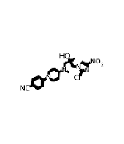 CN(CC(C)(O)Cn1cc([N+](=O)[O-])nc1Cl)C1CCN(c2ccc(C#N)cc2)CC1